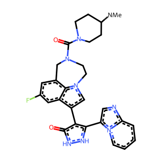 CNC1CCN(C(=O)N2CCn3cc(-c4c(-c5cnc6ccccn56)[nH][nH]c4=O)c4cc(F)cc(c43)C2)CC1